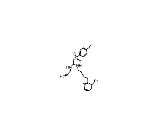 C#CCN/C(=C/S(=O)(=O)c1ccc(Cl)cc1)NCCSCc1ncccc1Br